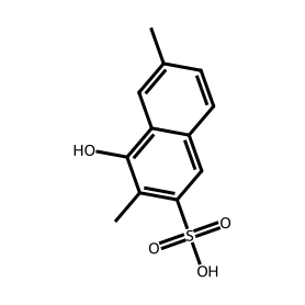 Cc1ccc2cc(S(=O)(=O)O)c(C)c(O)c2c1